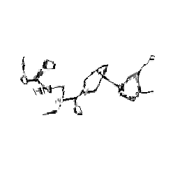 CC[C@H](CNC(=O)OC)C(=O)N1CC2CC2(c2ccc(C)c(F)c2)C1